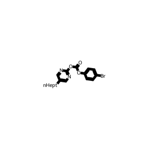 CCCCCCCc1cnc(OC(=O)Oc2ccc(Br)cc2)nc1